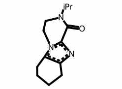 CC(C)N1CCn2c(nc3c2CCCC3)C1=O